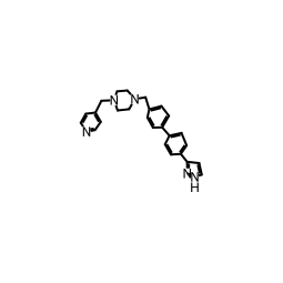 c1cc(CN2CCN(Cc3ccc(-c4ccc(-c5cc[nH]n5)cc4)cc3)CC2)ccn1